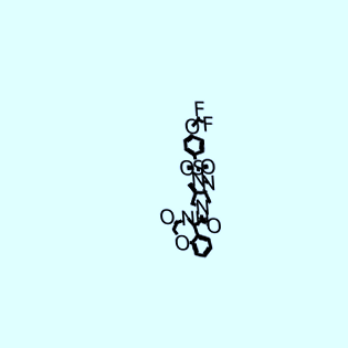 O=C1COc2ccccc2C(C(=O)N2Cc3cn(S(=O)(=O)c4ccc(OC(F)F)cc4)nc3C2)N1